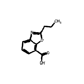 CCCc1nc2cccc(C(=O)O)c2o1